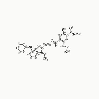 CNC(=O)c1cc(OCC#N)c(NCC#Cc2sc3c(NC4CCOCC4)cccc3c2CC(F)(F)F)cc1F